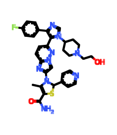 CC1=C(C(N)=O)SC(c2ccncc2)N1c1cn2nc(-c3c(-c4ccc(F)cc4)ncn3C3CCN(CCO)CC3)ccc2n1